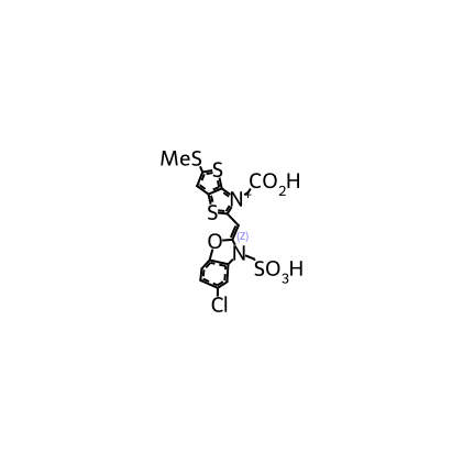 CSc1cc2sc(/C=C3\Oc4ccc(Cl)cc4N3CS(=O)(=O)O)[n+](CC(=O)O)c2s1